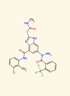 CNC(=O)Cc1nc2c(C(=O)Nc3cccc(Cl)c3C)cc(N(N)C(=O)c3ccccc3C(F)(F)F)cc2[nH]1